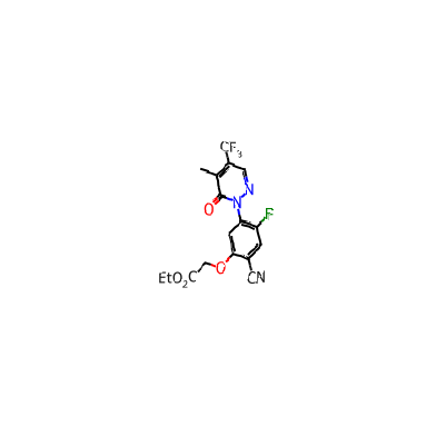 CCOC(=O)COc1cc(-n2ncc(C(F)(F)F)c(C)c2=O)c(F)cc1C#N